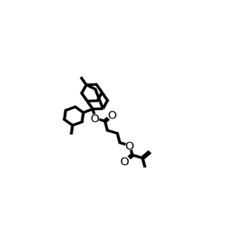 C=C(C)C(=O)OCCCC(=O)OC1(C2CCCC(C)C2)C2CC3CC1CC(C)(C3)C2